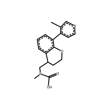 Cc1cnccc1-c1cccc2c1OCCC2CN(C)C(=O)O